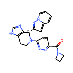 O=C(c1ccc(N2CCc3[nH]cnc3[C@@H]2c2cc3ccccn3n2)nn1)N1CCC1